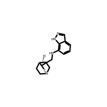 c1cc(NC[C@H]2CN3CCC2CC3)c2[nH]ncc2c1